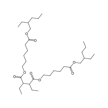 CCCC(CC)COC(=O)CCCCCOC(=O)C(CC)C(CC)C(=O)OCCCCCC(=O)OCC(CC)CCC